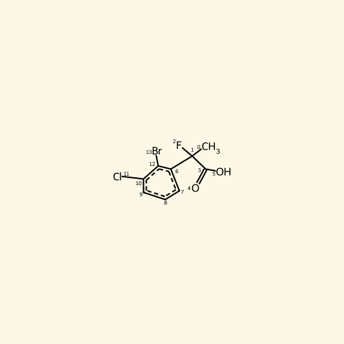 CC(F)(C(=O)O)c1cccc(Cl)c1Br